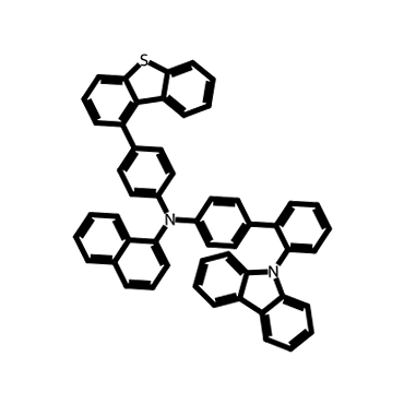 c1ccc(-n2c3ccccc3c3ccccc32)c(-c2ccc(N(c3ccc(-c4cccc5sc6ccccc6c45)cc3)c3cccc4ccccc34)cc2)c1